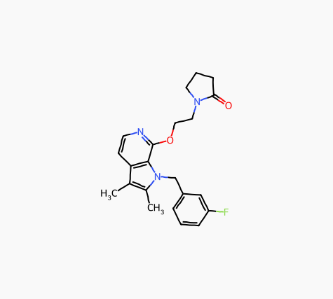 Cc1c(C)n(Cc2cccc(F)c2)c2c(OCCN3CCCC3=O)nccc12